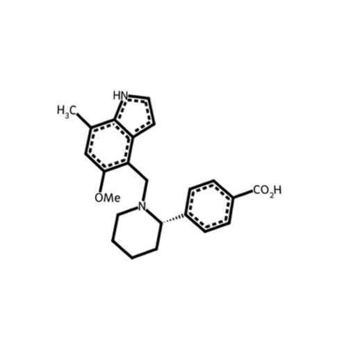 COc1cc(C)c2[nH]ccc2c1CN1CCCC[C@H]1c1ccc(C(=O)O)cc1